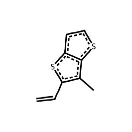 C=Cc1sc2ccsc2c1C